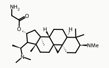 CN[C@H]1CC[C@]23C[C@]24CC[C@]2(C)C([C@H](C)N(C)C)[C@H](OC(=O)CN)C[C@@]2(C)[C@@H]4CC[C@H]3C1(C)C